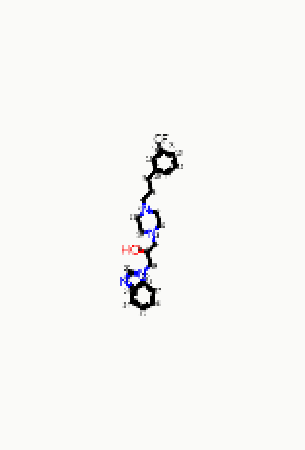 OC(CN1CCN(CCCc2cccc(C(F)(F)F)c2)CC1)Cn1cnc2ccccc21